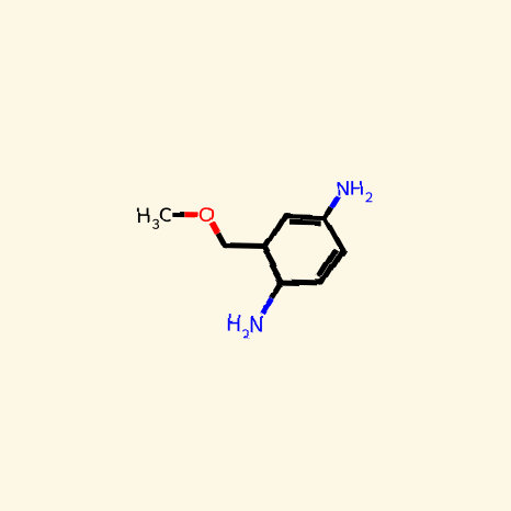 COCC1C=C(N)C=CC1N